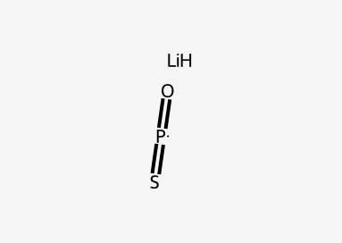 O=[P]=S.[LiH]